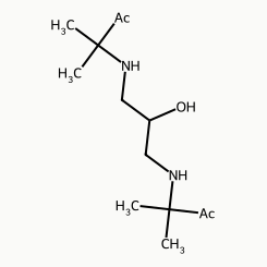 CC(=O)C(C)(C)NCC(O)CNC(C)(C)C(C)=O